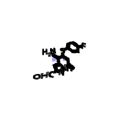 C=C/C=C(SC1=CC=C(F)CC1)\C(=C/N)c1cc(C=O)n[nH]1